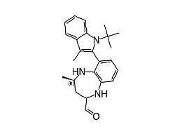 Cc1c(-c2cccc3c2N[C@H](C)CC(C=O)N3)n(C(C)(C)C)c2ccccc12